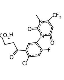 Cn1c(C(F)(F)F)cc(=O)n(-c2cc(C(=O)CCC(=O)O)c(Cl)cc2F)c1=O